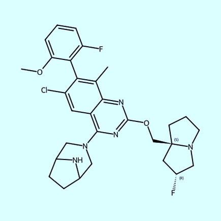 COc1cccc(F)c1-c1c(Cl)cc2c(N3CC4CCC(C3)N4)nc(OC[C@@]34CCCN3C[C@H](F)C4)nc2c1C